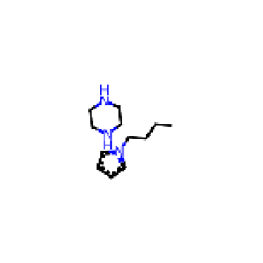 C1CNCCN1.CCCCn1cccc1